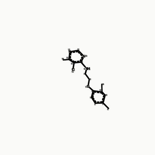 Cc1ccc(OCCNc2ncnc(C)c2Cl)c(C)c1